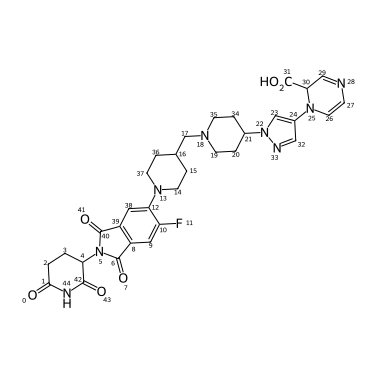 O=C1CCC(N2C(=O)c3cc(F)c(N4CCC(CN5CCC(n6cc(N7C=CN=CC7C(=O)O)cn6)CC5)CC4)cc3C2=O)C(=O)N1